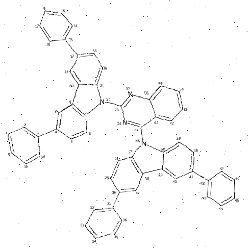 c1ccc(-c2ccc3c(c2)c2cc(-c4ccccc4)ccc2n3-c2nc(-n3c4ccc(-c5ccccc5)cc4c4cc(-c5ccccc5)ccc43)c3ccccc3n2)cc1